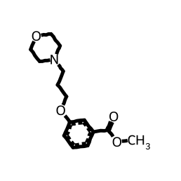 COC(=O)c1cccc(OCCCN2CCOCC2)c1